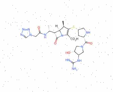 C[C@@H](NC(=O)Cn1cnnn1)[C@H]1C(=O)N2C(C(=O)O)=C(S[C@@H]3CN[C@H](C(=O)N4CC(NC(=N)N)[C@H](O)C4)C3)[C@H](C)[C@H]12